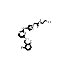 O=C(Cn1cc(Nc2nccc(NCc3c(F)cccc3Cl)n2)cn1)NCCO